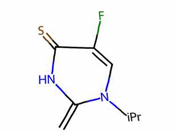 C=C1NC(=S)C(F)=CN1C(C)C